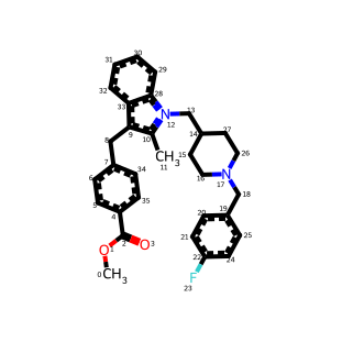 COC(=O)c1ccc(Cc2c(C)n(CC3CCN(Cc4ccc(F)cc4)CC3)c3ccccc23)cc1